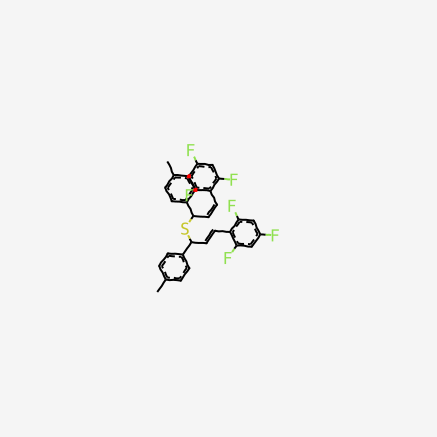 Cc1ccc(C(C=Cc2c(F)cc(F)cc2F)SC(C=Cc2c(F)cc(F)cc2F)c2ccc(C)cc2)cc1